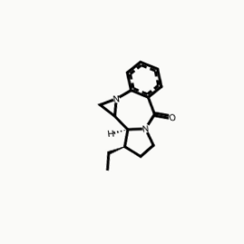 CC[C@@H]1CCN2C(=O)c3ccccc3N3CC3[C@H]12